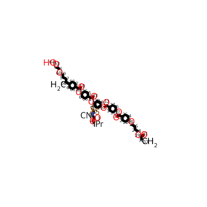 [C-]#[N+]/C(C(=O)OC(C)C)=C1/Sc2c(OC(=O)C3CCC(OC(=O)C4CCC(OCCCCOC(=O)C=C)CC4)CC3)ccc(OC(=O)C3CCC(OC(=O)C4CCC(C(=C)CCCOCCOO)CC4)CC3)c2S1